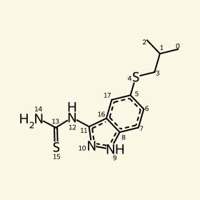 CC(C)CSc1ccc2[nH]nc(NC(N)=S)c2c1